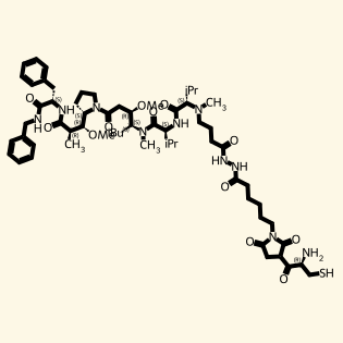 CC[C@H](C)[C@@H]([C@@H](CC(=O)N1CCC[C@H]1[C@H](OC)[C@@H](C)C(=O)N[C@@H](Cc1ccccc1)C(=O)NCc1ccccc1)OC)N(C)C(=O)[C@@H](NC(=O)[C@H](C(C)C)N(C)CCCC(=O)NNC(=O)CCCCCN1C(=O)CC(C(=O)[C@@H](N)CS)C1=O)C(C)C